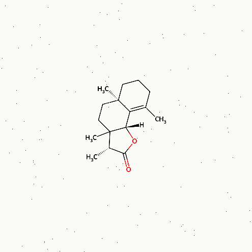 CC1=C2[C@@H]3OC(=O)[C@H](C)C3(C)CC[C@@]2(C)CCC1